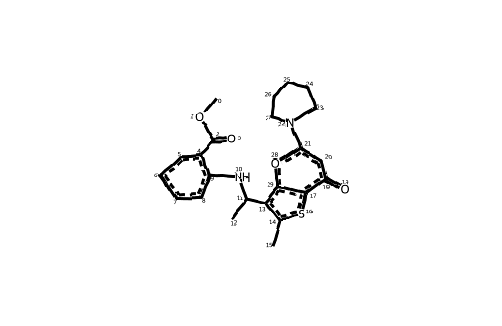 COC(=O)c1ccccc1NC(C)c1c(C)sc2c(=O)cc(N3CCCCC3)oc12